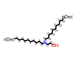 CCCCCCCCCCCCCCCCCCCCN(CCO)CCCCCCCCCCCCCCCCCCCC